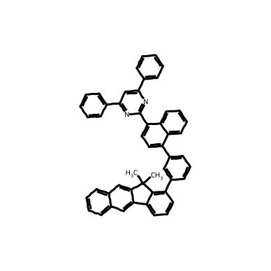 CC1(C)c2cc3ccccc3cc2-c2cccc(-c3cccc(-c4ccc(-c5nc(-c6ccccc6)cc(-c6ccccc6)n5)c5ccccc45)c3)c21